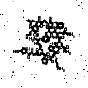 CSCC[C@H](NC(=O)[C@H](CC(C)C)NC(=O)CNC(=O)[C@H](Cc1ccccc1)NC(=O)[C@H](Cc1ccccc1)NC(=O)[C@H](CCC(N)=O)NC(=O)[C@H](CCC(N)=O)NC(=O)[C@@H]1CCCN1C(=O)[C@H](CCCCN)NC(=O)[C@@H]1CCCN1C(=O)[C@H](CCCNC(=N)N)NC(=O)CNC(=O)[C@@H]1C[C@@H](O)CN1)C(=O)O